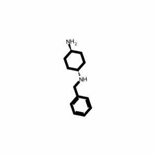 N[C@H]1CC[C@H](NCc2ccccc2)CC1